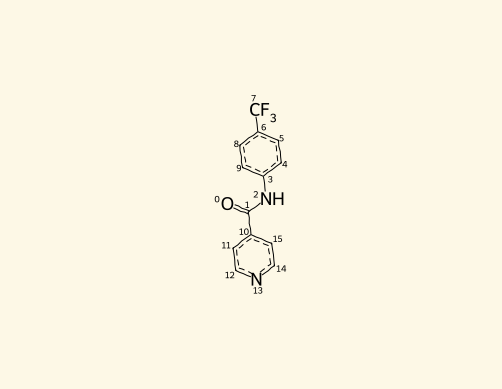 O=C(Nc1ccc(C(F)(F)F)cc1)c1ccncc1